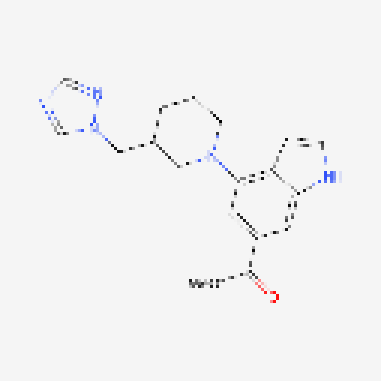 COC(=O)c1cc(N2CCCC(Cn3cncn3)C2)c2cc[nH]c2c1